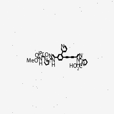 COC(=O)N[C@H](C(=O)N1CCC[C@H]1c1ncc(-c2ccc(C#CC#Cc3cnc([C@@H]4CCCN4C(=O)O)[nH]3)c(-c3cccnc3)c2)[nH]1)C(C)C